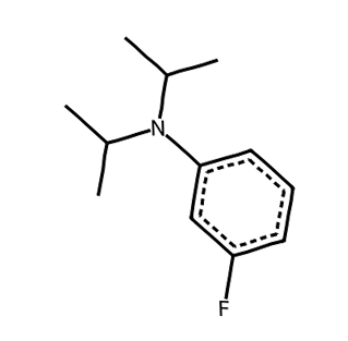 CC(C)N(c1cccc(F)c1)C(C)C